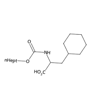 CCCCCCCOC(=O)NC(CC1CCCCC1)C(=O)O